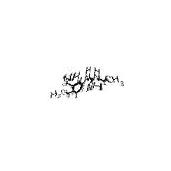 CCNC(=N)Nc1ccc(CC)c(CN)c1